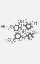 O=Cc1c(O)cccc1OCC1CCC(C(=O)O)CC1.O=Cc1c(O)cccc1OC[C@H]1CCC[C@@H](C(=O)O)C1